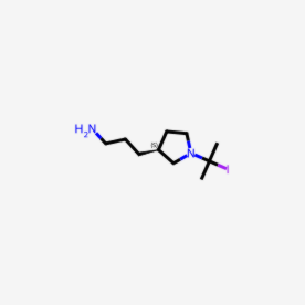 CC(C)(I)N1CC[C@H](CCCN)C1